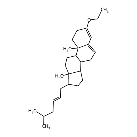 CCOC1=CC2=CCC3C(CCC4(C)C(C/C=C/CC(C)C)CCC34)C2(C)CC1